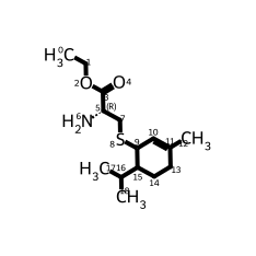 CCOC(=O)[C@@H](N)CSC1C=C(C)CCC1C(C)C